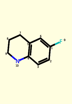 Fc1ccc2c(c1)CCC[N]2